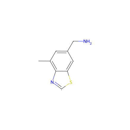 Cc1cc(CN)cc2s[c]nc12